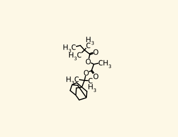 CCC(C)(C)C(=O)OC(C)C(=O)OC(C)(C)C12CC3CC(CC(C3)C1)C2